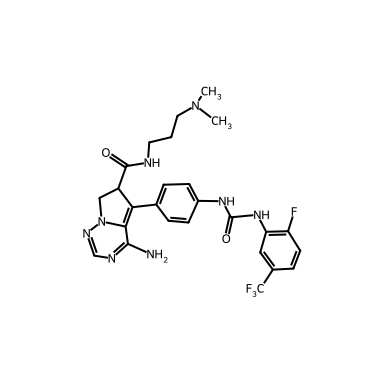 CN(C)CCCNC(=O)C1CN2N=CN=C(N)C2=C1c1ccc(NC(=O)Nc2cc(C(F)(F)F)ccc2F)cc1